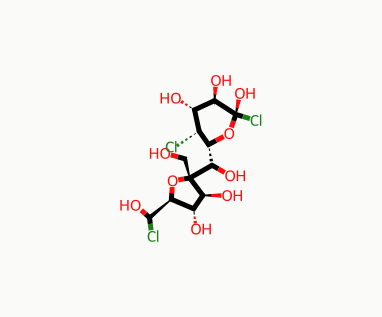 OC[C@]1(C(O)[C@H]2O[C@@](O)(Cl)[C@H](O)[C@@H](O)[C@H]2Cl)O[C@H](C(O)Cl)[C@@H](O)[C@@H]1O